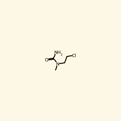 CN(CCCl)C(N)=O